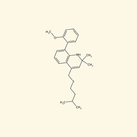 COc1ccccc1-c1cccc2c1NC(C)(C)C=C2CSCCC(C)C